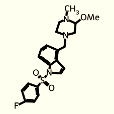 COC1CN(Cc2cccc3c2ccn3S(=O)(=O)c2ccc(F)cc2)CCN1C